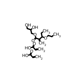 C=C(C(=O)OCC(O)CO)C(CC)OCCC.C=CC(=O)O.C=CC(=O)O